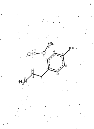 CC(C)(C)OC=O.NNCc1ccc(F)cc1